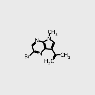 C=C(C)c1cn(C)c2ncc(Br)nc12